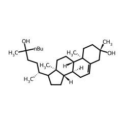 CCCCC(C)(O)CC[C@@H](C)C1CC[C@H]2[C@@H]3CC=C4C[C@@](C)(O)CC[C@]4(C)[C@H]3CC[C@]12C